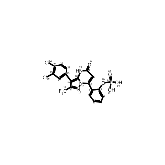 O=c1cc(-c2ccccc2OP(=O)(O)O)n2nc(C(F)(F)F)c(-c3ccc(Cl)c(Cl)c3)c2[nH]1